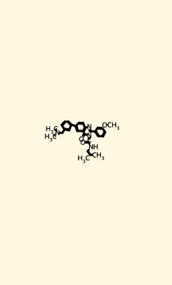 COc1cccc(-c2nc3ccc(-c4cccc(CN(C)C)c4)cc3c(=O)n2CC(=O)NCC(C)C)c1